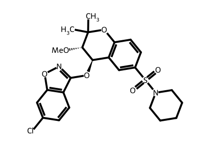 CO[C@H]1[C@H](Oc2noc3cc(Cl)ccc23)c2cc(S(=O)(=O)N3CCCCC3)ccc2OC1(C)C